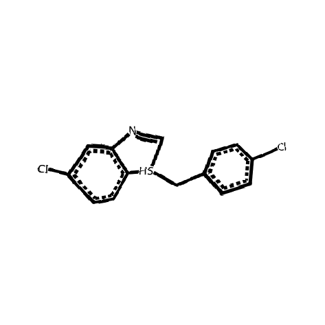 Clc1ccc(C[SH]2C=Nc3cc(Cl)ccc32)cc1